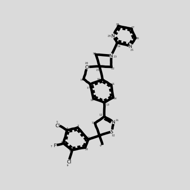 CC1(c2cc(Cl)c(F)c(Cl)c2)CC(c2ccc3c(c2)COC32CN(c3ncccn3)C2)=NS1